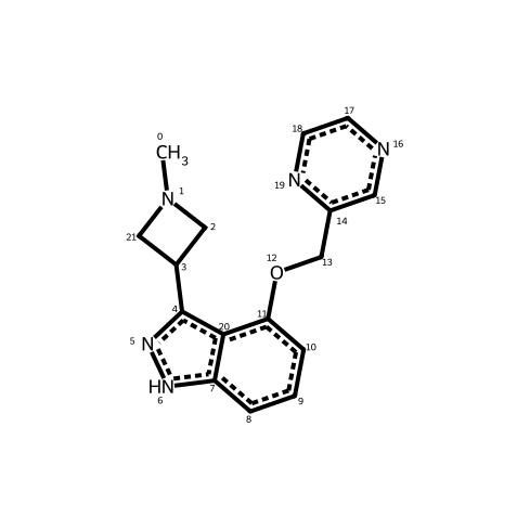 CN1CC(c2n[nH]c3cccc(OCc4cnccn4)c23)C1